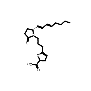 CCCC/C=C/C=C/[C@H]1CCC(=O)N1CCCC1=CCC(C(=O)O)O1